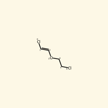 ClC=COCCCl